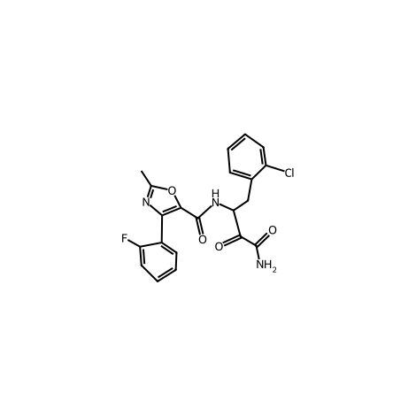 Cc1nc(-c2ccccc2F)c(C(=O)NC(Cc2ccccc2Cl)C(=O)C(N)=O)o1